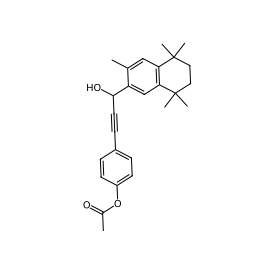 CC(=O)Oc1ccc(C#CC(O)c2cc3c(cc2C)C(C)(C)CCC3(C)C)cc1